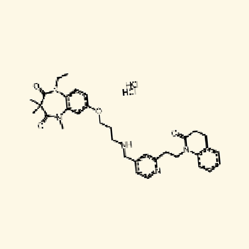 CCN1C(=O)C(C)(C)C(=O)N(C)c2cc(OCCCNCc3ccnc(CCN4C(=O)CCc5ccccc54)c3)ccc21.Cl.Cl